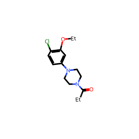 CCOc1cc(N2CCN(C(=O)CC)CC2)ccc1Cl